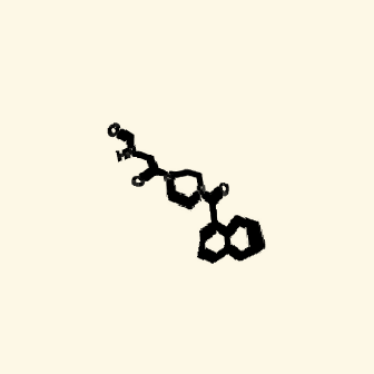 O=CNCC(=O)N1CCN(C(=O)c2cccc3ccccc23)CC1